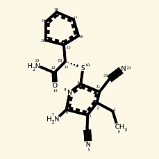 CCc1c(C#N)c(N)nc(S[C@H](C(N)=O)c2ccccc2)c1C#N